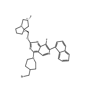 Fc1c(-c2cccc3ccccc23)ncc2c(N3CCC(CBr)CC3)nc(OC[C@@]34CCCN3C[C@H](F)C4)nc12